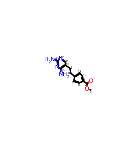 COC(=O)c1ccc(CCc2cnc(N)nc2N)cc1